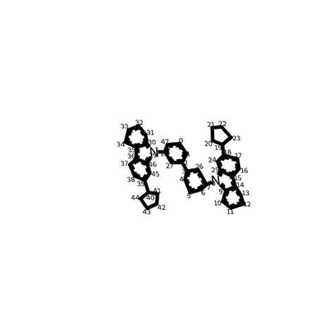 c1cc(-c2cccc(-n3c4ccccc4c4ccc(C5CCCC5)cc43)c2)cc(-n2c3ccccc3c3ccc(C4CCCC4)cc32)c1